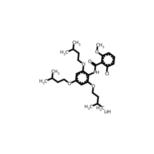 COc1cccc(Cl)c1C(=O)Pc1c(OCCC(C)C)cc(OCCC(C)C)cc1OCCC(C)C.[LiH]